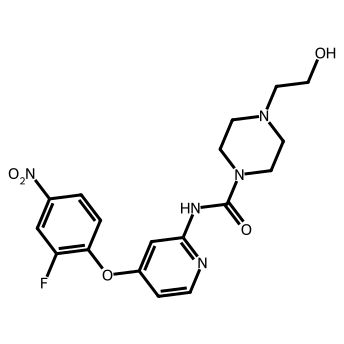 O=C(Nc1cc(Oc2ccc([N+](=O)[O-])cc2F)ccn1)N1CCN(CCO)CC1